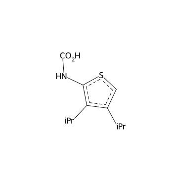 CC(C)c1csc(NC(=O)O)c1C(C)C